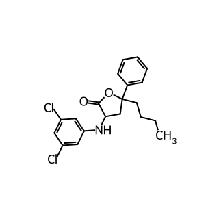 CCCCC1(c2ccccc2)CC(Nc2cc(Cl)cc(Cl)c2)C(=O)O1